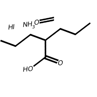 C=O.CCCC(CCC)C(=O)O.I.N